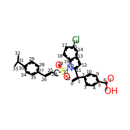 C=C(c1ccc(C(=O)O)cc1)c1cc2cc(Cl)ccc2n1S(=O)(=O)CC=Cc1ccc(C(C)C)cc1